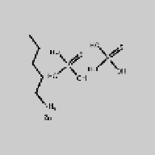 CCCCCN.OP(O)(O)=S.OP(O)(O)=S.[Zn]